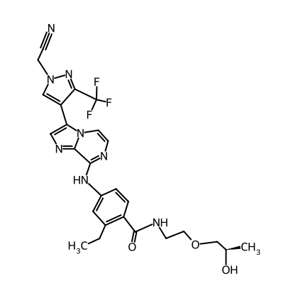 CCc1cc(Nc2nccn3c(-c4cn(CC#N)nc4C(F)(F)F)cnc23)ccc1C(=O)NCCOC[C@@H](C)O